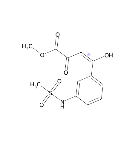 COC(=O)C(=O)/C=C(/O)c1cccc(NS(C)(=O)=O)c1